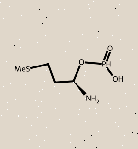 CSCC[C@H](N)O[PH](=O)O